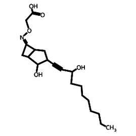 CCCCCCCCC(O)C#CC1CC2/C(=N\OCC(=O)O)CC2C1O